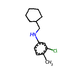 Cc1ccc(NCC2CCCCC2)cc1Cl